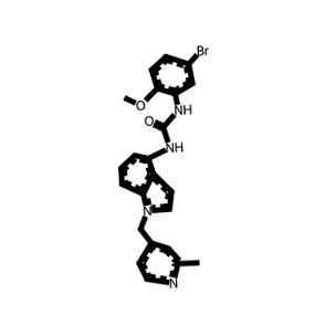 COc1ccc(Br)cc1NC(=O)Nc1cccc2c1ccn2Cc1ccnc(C)c1